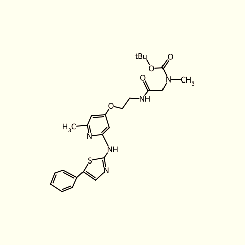 Cc1cc(OCCNC(=O)CN(C)C(=O)OC(C)(C)C)cc(Nc2ncc(-c3ccccc3)s2)n1